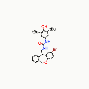 CC(C)(C)c1cc(NC(=O)NCC2c3ccccc3COc3ccc(Br)cc32)cc(C(C)(C)C)c1O